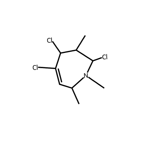 CC1C(Cl)C(Cl)=CC(C)N(C)C1Cl